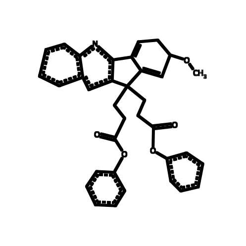 COC1C=C2C(=CC1)c1nc3ccccc3cc1C2(CCC(=O)Oc1ccccc1)CCC(=O)Oc1ccccc1